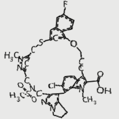 Cn1nc2cc1CSc1cc(c3ccc(F)cc3c1)OCCCc1c(C(=O)O)n(C)c3c(c(Cl)ccc13)-c1c(nn3c1CCC3)CN(S(C)(=O)=O)C2